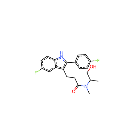 CC(CO)N(C)C(=O)CCc1c(-c2ccc(F)cc2)[nH]c2ccc(F)cc12